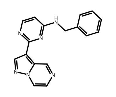 c1ccc(CNc2ccnc(-c3cnn4ccncc34)n2)cc1